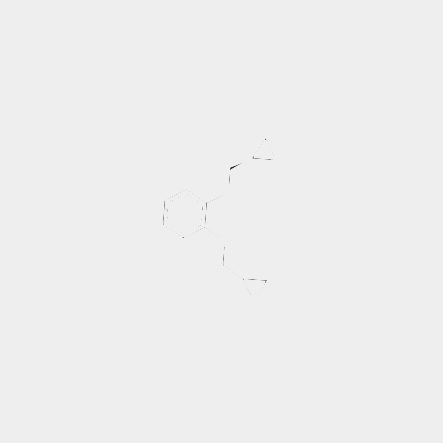 c1ccc(OC[C@H]2CO2)c(OCC2CO2)c1